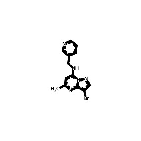 Cc1cc(NCc2cccnc2)n2ncc(Br)c2n1